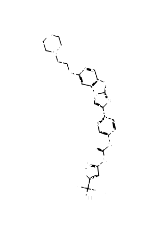 CC(C)(c1cc(NC(=O)Nc2ccc(-c3cn4c(n3)sc3ccc(OCCN5CCOCC5)cc34)cc2)no1)C(F)(F)F